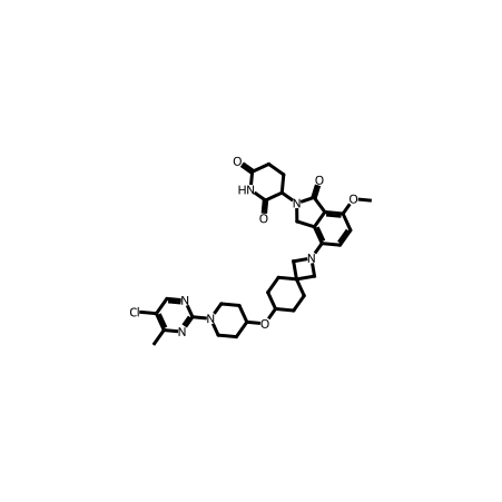 COc1ccc(N2CC3(CCC(OC4CCN(c5ncc(Cl)c(C)n5)CC4)CC3)C2)c2c1C(=O)N(C1CCC(=O)NC1=O)C2